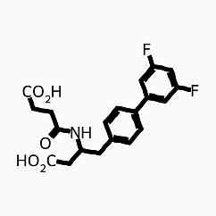 O=C(O)CCC(=O)NC(CC(=O)O)Cc1ccc(-c2cc(F)cc(F)c2)cc1